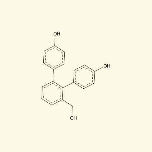 OCc1cccc(-c2ccc(O)cc2)c1-c1ccc(O)cc1